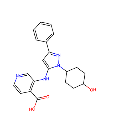 O=C(O)c1ccncc1Nc1cc(-c2ccccc2)nn1C1CCC(O)CC1